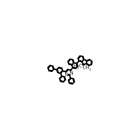 CC1(C)c2ccccc2-c2cccc(-c3ccc(-c4cc(-c5ccc(-c6ccccc6)cc5-c5ccccc5)nc(-c5ccccc5)n4)c4ccccc34)c21